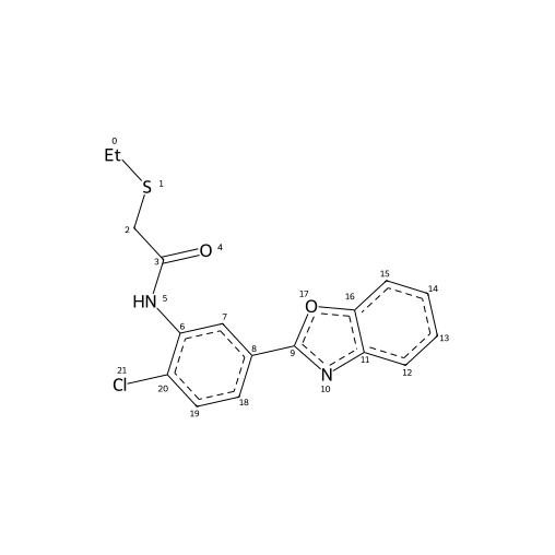 CCSCC(=O)Nc1cc(-c2nc3ccccc3o2)ccc1Cl